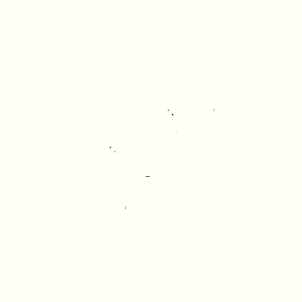 CC(C)N1CC2CCC2OC(C2CC3COCCN(C(C)C)C32)C1